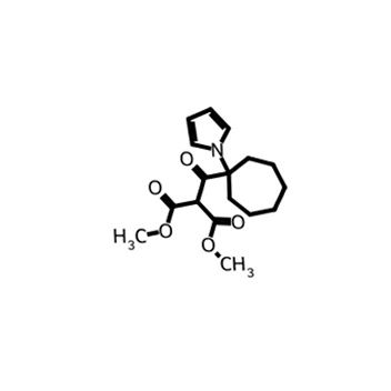 COC(=O)C(C(=O)OC)C(=O)C1(n2cccc2)CCCCCC1